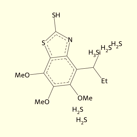 CCC([SiH3])c1c(OC)c(OC)c(OC)c2sc(S)nc12.S.S.S.S